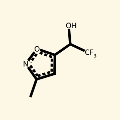 Cc1cc(C(O)C(F)(F)F)on1